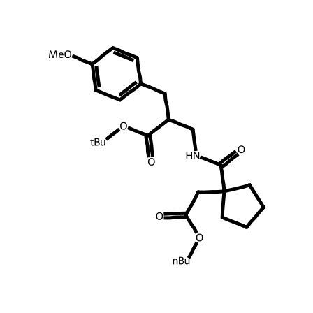 CCCCOC(=O)CC1(C(=O)NCC(Cc2ccc(OC)cc2)C(=O)OC(C)(C)C)CCCC1